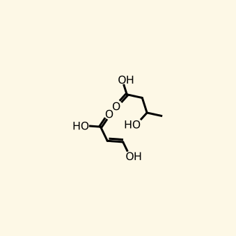 CC(O)CC(=O)O.O=C(O)C=CO